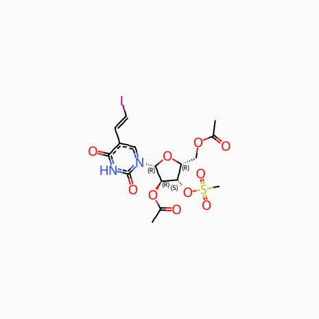 CC(=O)OC[C@H]1O[C@@H](n2cc(C=CI)c(=O)[nH]c2=O)[C@H](OC(C)=O)[C@H]1OS(C)(=O)=O